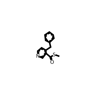 CSC(=O)c1cnccc1Cc1ccccc1